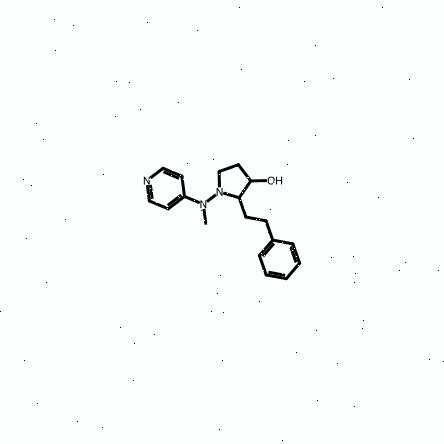 CN(c1ccncc1)N1CCC(O)C1CCc1ccccc1